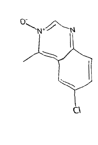 Cc1c2cc(Cl)ccc2nc[n+]1[O-]